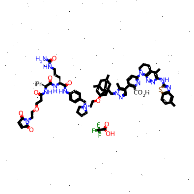 Cc1ccc2sc(Nc3nnc4c(c3C)CCCN4c3ccc(-c4cnn(CC56CC7(C)CC(C)(C5)CC(OCC[N+]5(Cc8ccc(NC(=O)[C@H](CCCNC(N)=O)NC(=O)[C@@H](NC(=O)CCOCCN9C(=O)C=CC9=O)C(C)C)cc8)CCCC5)(C7)C6)c4C)c(C(=O)O)n3)nc2c1.O=C(O)C(F)(F)F